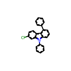 Clc1ccc2c3c(-c4ccccc4)cccc3n(-c3ccccc3)c2c1